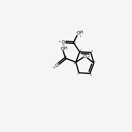 O=C(O)C1=CC2=CCC1(C(=O)O)O2